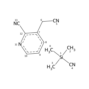 C[Si](C)(C)C#N.N#CCc1cccnc1C#N